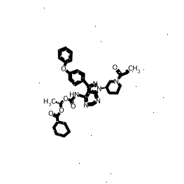 C=CC(=O)N1CCC[C@@H](n2nc(-c3ccc(Oc4ccccc4)cc3)c3c(NC(=O)O[C@H](C)OC(=O)C4CCCCC4)ncnc32)C1